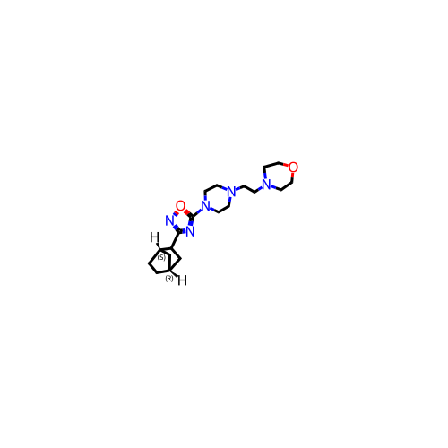 C1CN(CCN2CCN(c3nc(C4C[C@@H]5CC[C@H]4C5)no3)CC2)CCO1